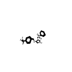 O=S(=O)(C[C@@H]1CNC[C@H]1OCc1ccc(C(F)(F)F)cc1)c1ccccc1